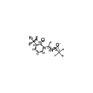 C/C(=N\[S@+]([O-])C(C)(C)C)c1cccc(C(F)(F)F)c1Cl